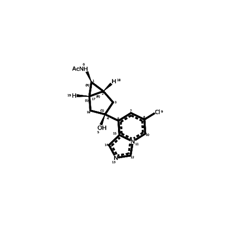 CC(=O)N[C@H]1[C@@H]2C[C@](O)(c3cc(Cl)cn4cncc34)C[C@@H]21